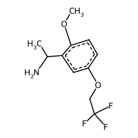 COc1ccc(OCC(F)(F)F)cc1C(C)N